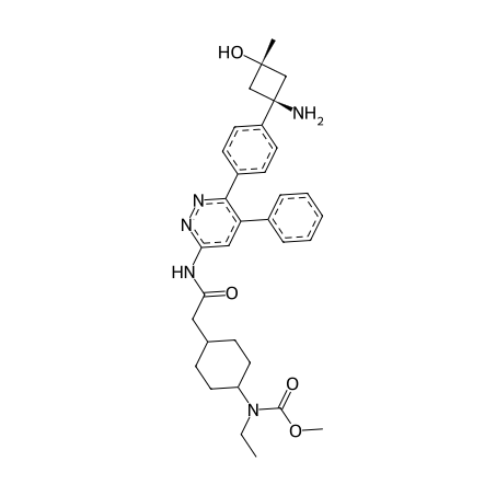 CCN(C(=O)OC)C1CCC(CC(=O)Nc2cc(-c3ccccc3)c(-c3ccc([C@]4(N)C[C@](C)(O)C4)cc3)nn2)CC1